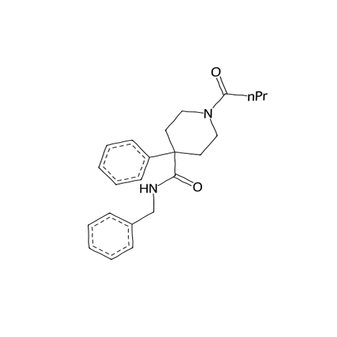 CCCC(=O)N1CCC(C(=O)NCc2ccccc2)(c2ccccc2)CC1